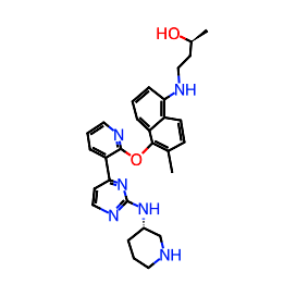 Cc1ccc2c(NCC[C@H](C)O)cccc2c1Oc1ncccc1-c1ccnc(N[C@H]2CCCNC2)n1